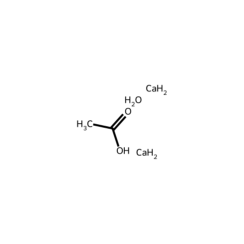 CC(=O)O.O.[CaH2].[CaH2]